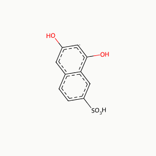 O=S(=O)(O)c1ccc2cc(O)[c]c(O)c2c1